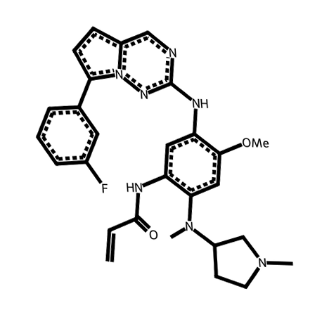 C=CC(=O)Nc1cc(Nc2ncc3ccc(-c4cccc(F)c4)n3n2)c(OC)cc1N(C)C1CCN(C)C1